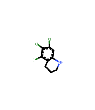 Clc1cc2c(c(Cl)c1Cl)CCCN2